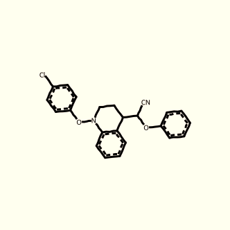 N#CC(Oc1ccccc1)C1CCN(Oc2ccc(Cl)cc2)c2ccccc21